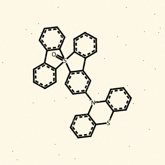 O=S12(c3ccccc3-c3ccccc31)c1ccccc1-c1cc(N3c4ccccc4Sc4ccccc43)ccc12